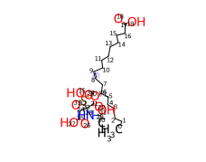 CCCCCC[C@H](C/C=C\CCCCCCCC(=O)O)OC(=O)C(CC(=O)O)(NC(C)O)S(=O)(=O)O